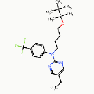 CCc1cnc(N(CCCCO[Si](C)(C)C(C)(C)C)c2ccc(C(F)(F)F)cc2)nc1